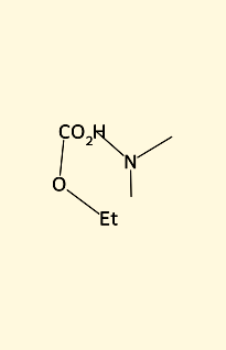 CCOC(=O)O.CN(C)C